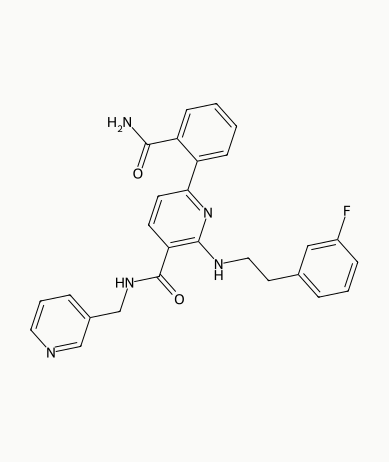 NC(=O)c1ccccc1-c1ccc(C(=O)NCc2cccnc2)c(NCCc2cccc(F)c2)n1